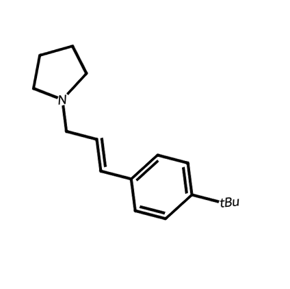 CC(C)(C)c1ccc(/C=C/CN2CCCC2)cc1